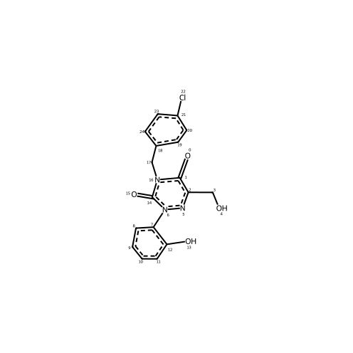 O=c1c(CO)nn(-c2ccccc2O)c(=O)n1Cc1ccc(Cl)cc1